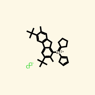 Cc1cc2c(cc1C(C)(C)C)-c1cc(C(C)(C)C)c(C)[c]([Zr+2]([C]3=CC=CC3)=[C]3CCCC3)c1C2.[Cl-].[Cl-]